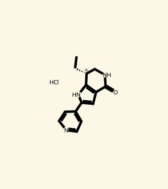 CC[C@@H]1CNC(=O)c2cc(-c3ccncc3)[nH]c21.Cl